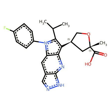 CC(C)c1c([C@H]2CO[C@](C)(C(=O)O)C2)c2nc3[nH]ncc3cc2n1-c1ccc(F)cc1